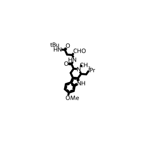 COc1ccc2c3c([nH]c2c1)C(CC(C)C)N(C)C(C(=O)NC(C=O)CC(=O)NC(C)(C)C)C3